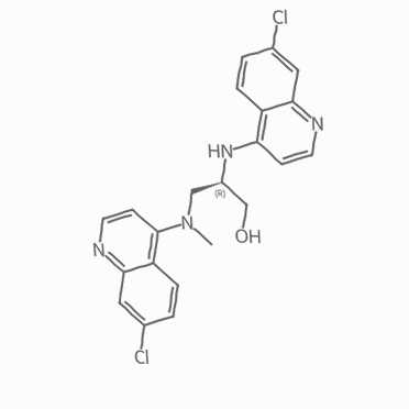 CN(C[C@H](CO)Nc1ccnc2cc(Cl)ccc12)c1ccnc2cc(Cl)ccc12